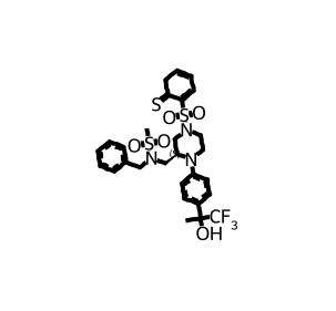 CC(O)(c1ccc(N2CCN(S(=O)(=O)C3=CC=CCC3=S)C[C@@H]2CN(Cc2ccccc2)S(C)(=O)=O)cc1)C(F)(F)F